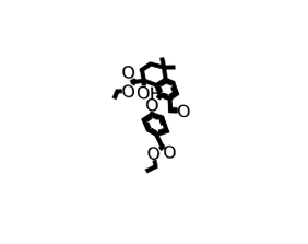 CCOC(=O)c1ccc(Oc2c(C=O)ccc3c2C(O)(C(=O)OCC)CCC3(C)C)cc1